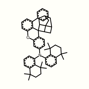 CC1(C)CCC(C)(C)c2c(N(c3ccc4c(c3)Oc3cccc(-c5ccccc5)c3C43C4CC5CC6CC3C64C5)c3cccc4c3C(C)(C)CCC4(C)C)cccc21